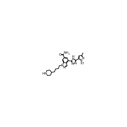 CCn1nc(C)cc1-c1nnc(-c2cc(C(N)=O)cc3c2cnn3CCCCC2CCNCC2)[nH]1